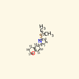 CC(C)Sc1cccc(-c2ccc3c(c2)CCCO3)n1